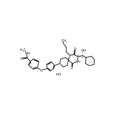 CCCCN1C(=O)[C@@H]([C@H](O)C2CCCCC2)NC(=O)C12CCN(c1ccc(Oc3ccc(C(=O)NC)cc3)cc1)CC2.Cl